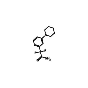 NC(=O)C(F)(F)c1cccc(N2CCCCC2)c1